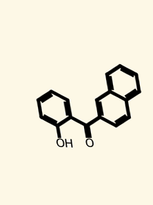 O=C(c1ccc2ccccc2c1)c1ccccc1O